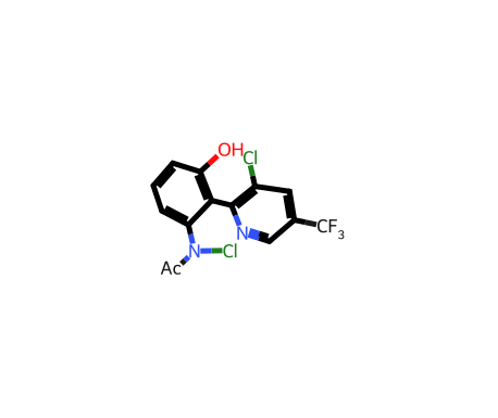 CC(=O)N(Cl)c1cccc(O)c1-c1ncc(C(F)(F)F)cc1Cl